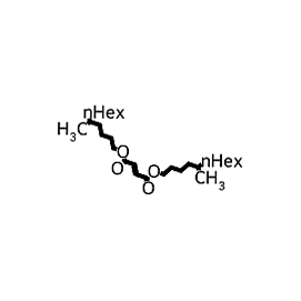 CCCCCCC(C)CCCCOC(=O)C=CC(=O)OCCCCC(C)CCCCCC